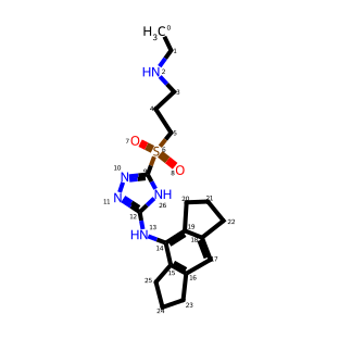 CCNCCCS(=O)(=O)c1nnc(Nc2c3c(cc4c2CCC4)CCC3)[nH]1